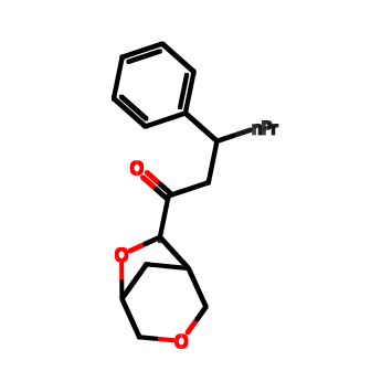 [CH2]CCC(CC(=O)[C]1OC2COCC1C2)c1ccccc1